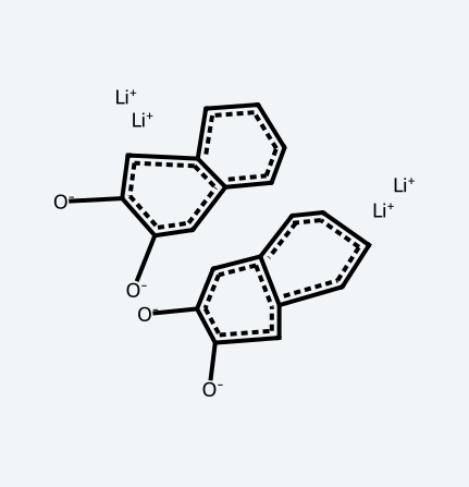 [Li+].[Li+].[Li+].[Li+].[O-]c1cc2ccccc2cc1[O-].[O-]c1cc2ccccc2cc1[O-]